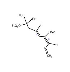 C=N/C(Cl)=C(\C=C(/I)CC(C)(C(=O)OCC)C(C)C)OC